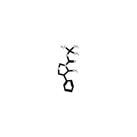 CC1C(c2ccccc2)CCCN1C(=O)OC(C)(C)C